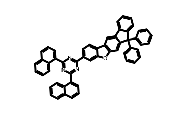 c1ccc(C2(c3ccccc3)c3ccccc3-c3cc4c(cc32)oc2cc(-c3nc(-c5cccc6ccccc56)nc(-c5cccc6ccccc56)n3)ccc24)cc1